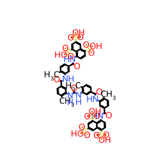 Cc1ccc(C(=O)Nc2cc(C(=O)Nc3ccc(S(=O)(=O)O)c4cc(S(=O)(=O)O)cc(S(=O)(=O)O)c34)ccc2C)cc1NC(=O)Nc1cc(C(=O)Nc2cc(C(=O)Nc3ccc(S(=O)(=O)O)c4cc(S(=O)(=O)O)cc(S(=O)(=O)O)c34)ccc2C)ccc1C